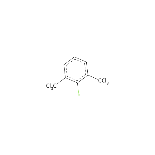 Fc1c(C(Cl)(Cl)Cl)cccc1C(Cl)(Cl)Cl